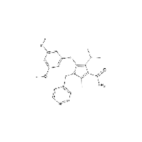 COc1cc(OC)cc(Sc2c(C(C)C)c(C(N)=O)c(C)n2Cc2ccncc2)c1